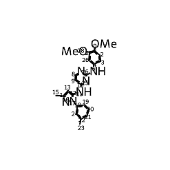 COc1ccc(Nc2nccc(Nc3cc(C)nn3-c3cccc(C)c3)n2)cc1OC